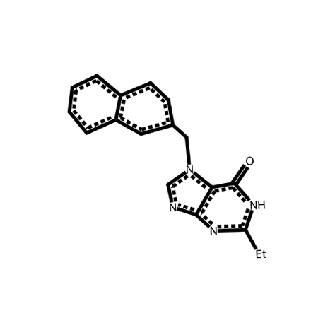 CCc1nc2ncn(Cc3ccc4ccccc4c3)c2c(=O)[nH]1